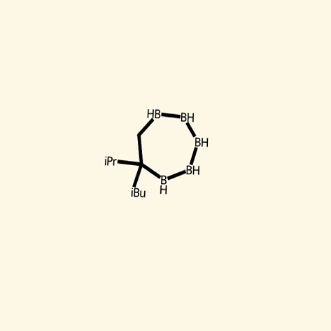 CCC(C)C1(C(C)C)BBBBBC1